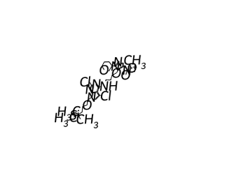 Cc1nn(C2CCCOC2)c(OCCCNc2nc(Cl)nc3c2c(Cl)cn3COCC[Si](C)(C)C)c1[N+](=O)[O-]